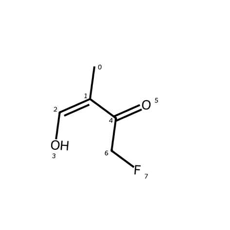 CC(=CO)C(=O)CF